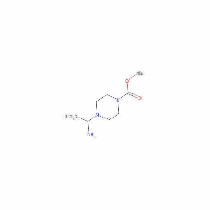 CC(C)(C)OC(=O)N1CCN(C(N)S(=O)(=O)O)CC1